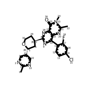 Cc1ncc([C@H]2C[C@H](c3nc(-c4ccc(Cl)cc4F)c4nc(C)n(C)c(=O)c4n3)CCO2)cn1